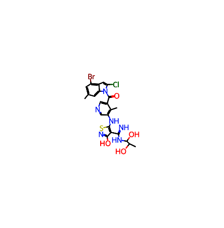 Cc1cc(Br)c2cc(Cl)n(C(=O)c3cncc(Nc4snc(O)c4C(=N)NC(O)C(C)O)c3C)c2c1